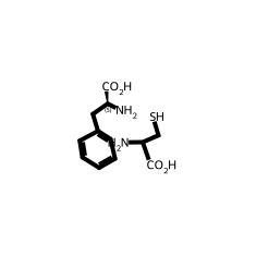 NC(CS)C(=O)O.N[C@@H](Cc1ccccc1)C(=O)O